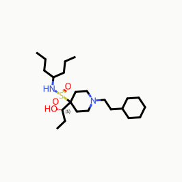 CCCC(CCC)NS(=O)(=O)C1([C@@H](O)CC)CCN(CCC2CCCCC2)CC1